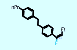 CC/C=C(/F)c1ccc(CCc2ccc(CCC)cc2)cc1